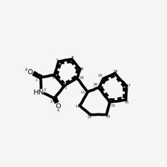 O=C1NC(=O)c2c1cccc2C1CCCc2ccccc21